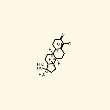 C[C@]12CCC(=O)C(Cl)=C1CC[C@@H]1[C@@H]2CC[C@@]2(C)[C@H]1CC[C@@]2(C)O